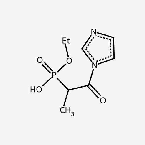 CCOP(=O)(O)C(C)C(=O)n1ccnc1